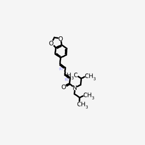 CC(C)CN(CC(C)C)C(=O)/C=C/C=C/c1ccc2c(c1)OCO2